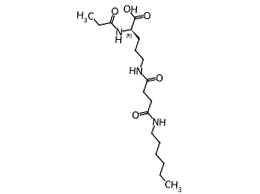 CCCCCCNC(=O)CCC(=O)NCCC[C@@H](NC(=O)CC)C(=O)O